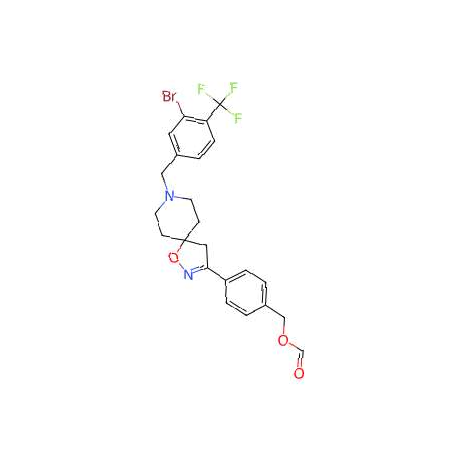 O=COCc1ccc(C2=NOC3(CCN(Cc4ccc(C(F)(F)F)c(Br)c4)CC3)C2)cc1